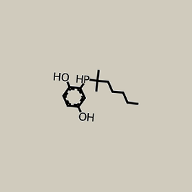 CCCCCC(C)(C)Pc1cc(O)ccc1O